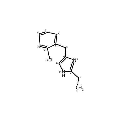 CCc1nc(Cc2ccccc2Cl)c[nH]1